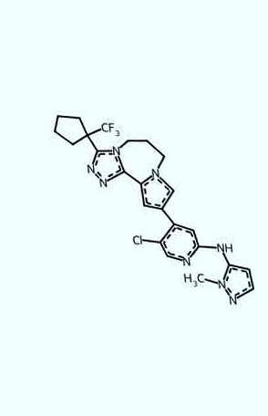 Cn1nccc1Nc1cc(-c2cc3n(c2)CCCn2c-3nnc2C2(C(F)(F)F)CCCC2)c(Cl)cn1